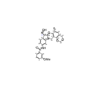 COc1cccc(C(=O)Nc2ccc3c(c2)N(Cc2cc(F)cc4c2OCOC4)C(=O)/C3=N\O)c1